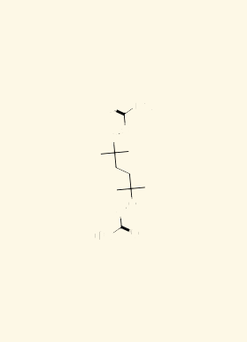 CC(C)(CCC(C)(C)OOC(=O)C(C)(C)C)OOC(=O)C(C)(C)C